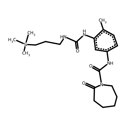 Cc1ccc(NC(=O)N2CCCCCC2=O)cc1NC(=O)NCCC[Si](C)(C)C